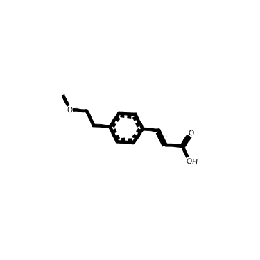 COCCc1ccc(/C=C/C(=O)O)cc1